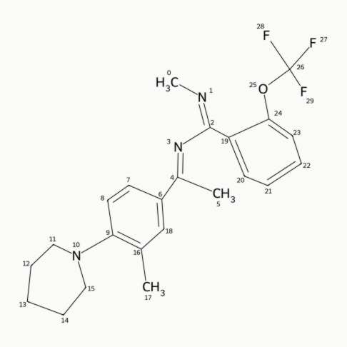 C/N=C(\N=C(/C)c1ccc(N2CCCCC2)c(C)c1)c1ccccc1OC(F)(F)F